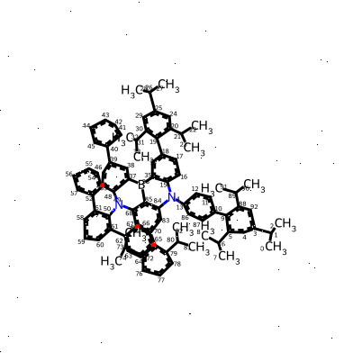 CC(C)c1cc(C(C)C)c(-c2ccc(N3c4ccc(-c5c(C(C)C)cc(C(C)C)cc5C(C)C)cc4B4c5cc(-c6ccccc6)ccc5N(c5c(-c6ccccc6)cccc5-c5ccccc5)c5cc(-c6c(C(C)C)cccc6C(C)C)cc3c54)cc2)c(C(C)C)c1